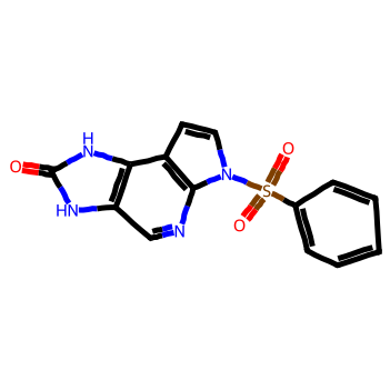 O=c1[nH]c2cnc3c(ccn3S(=O)(=O)c3ccccc3)c2[nH]1